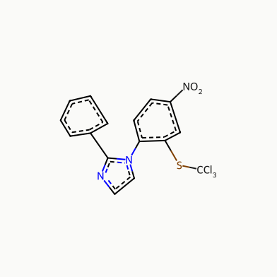 O=[N+]([O-])c1ccc(-n2ccnc2-c2ccccc2)c(SC(Cl)(Cl)Cl)c1